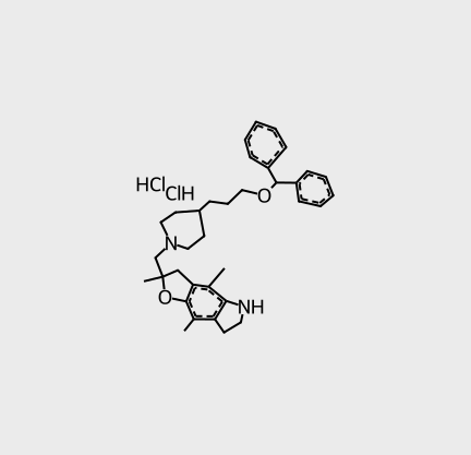 Cc1c2c(c(C)c3c1NCC3)OC(C)(CN1CCC(CCCOC(c3ccccc3)c3ccccc3)CC1)C2.Cl.Cl